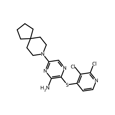 Nc1nc(N2CCC3(CCCC3)CC2)cnc1Sc1ccnc(Cl)c1Cl